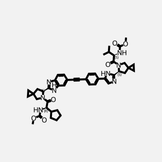 COC(=O)N[C@H](C(=O)N1CC2(CC2)C[C@H]1c1ncc(-c2ccc(C#Cc3ccc4nc([C@@H]5CC6(CC6)CN5C(=O)[C@H](NC(=O)OC)C5CCCC5)[nH]c4c3)cc2)[nH]1)C(C)C